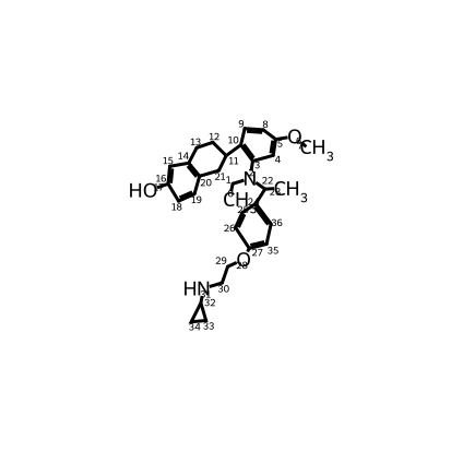 CCN(c1cc(OC)ccc1C1CCc2cc(O)ccc2C1)C(C)c1ccc(OCCNC2CC2)cc1